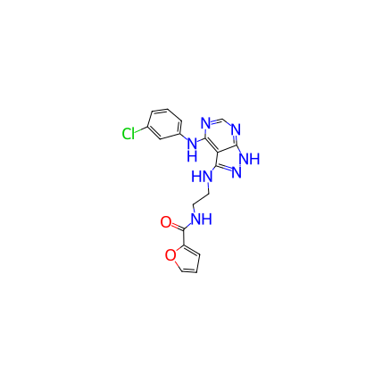 O=C(NCCNc1n[nH]c2ncnc(Nc3cccc(Cl)c3)c12)c1ccco1